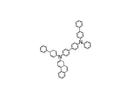 C1=CC(c2ccccc2)CC=C1N(C1=CC=C2c3ccccc3C=CC2C1)c1ccc(-c2ccc(N(c3ccccc3)c3ccc(-c4ccccc4)cc3)cc2)cc1